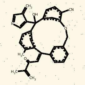 C=C(C)C(=O)/C=C1/c2cccc(c2)COc2cc(ccc2C#N)C(O)(C2=CN=CC2=C)c2ccc(C)c1c2